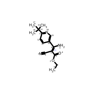 CCOC(=O)/C(C#N)=C(\N)c1ccc(C(C)(C)C)nc1